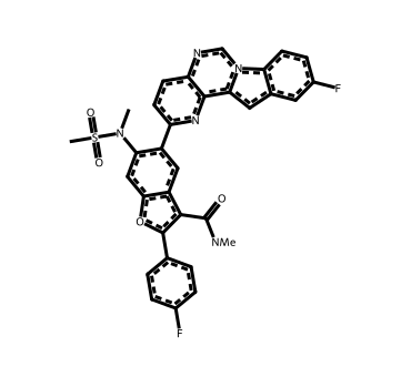 CNC(=O)c1c(-c2ccc(F)cc2)oc2cc(N(C)S(C)(=O)=O)c(-c3ccc4ncn5c6ccc(F)cc6cc5c4n3)cc12